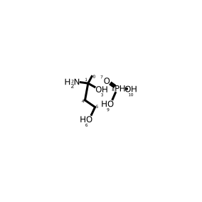 CC(N)(O)CCO.O=[PH](O)O